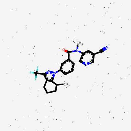 CC1CCCc2c(C(F)(F)F)nn(-c3cccc(C(=O)N(C)c4cncc(C#N)c4)c3)c21